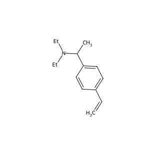 C=Cc1ccc(C(C)N(CC)CC)cc1